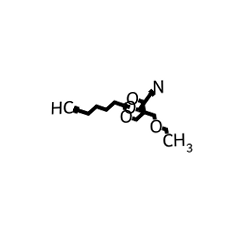 C#CCCCCC12OCC(COCC)(CO1)C(C#N)O2